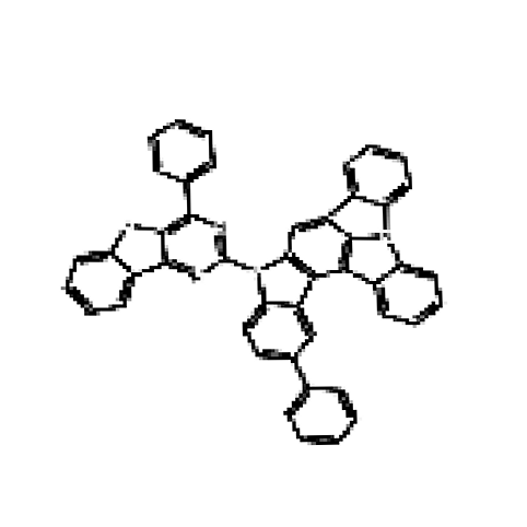 c1ccc(-c2ccc3c(c2)c2c4c5ccccc5n5c6ccccc6c(cc2n3-c2nc(-c3ccccc3)c3sc6ccccc6c3n2)c45)cc1